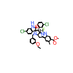 CCOc1cccc(CN2C3Cc4c5cc(C)c(C(=O)OC)cc5nn4[C@H]3[C@H](c3cccc(Cl)c3F)[C@]23C(=O)Nc2cc(Cl)ccc23)c1